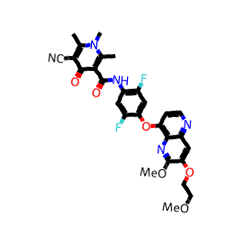 COCCOc1cc2nccc(Oc3cc(F)c(NC(=O)c4c(C)n(C)c(C)c(C#N)c4=O)cc3F)c2nc1OC